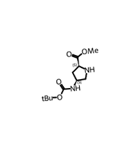 COC(=O)[C@@H]1C[C@H](NC(=O)OC(C)(C)C)CN1